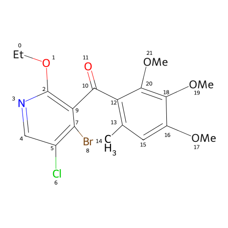 CCOc1ncc(Cl)c(Br)c1C(=O)c1c(C)cc(OC)c(OC)c1OC